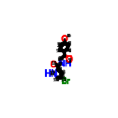 COc1ccc(C(=O)CNC(=O)c2cc(Br)c[nH]2)cc1